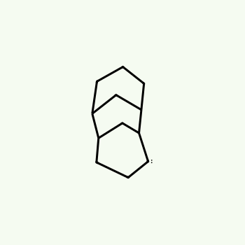 [C]1CCC2CC1C1CCCC2C1